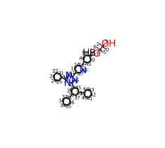 CC(C)(O)C(C)(C)OBc1ccc(-c2ccc(-c3nc(-c4ccccc4)nc(-c4cc(-c5ccccc5)cc(-c5ccccc5)c4)n3)cn2)cc1